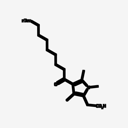 CCCCCCCCCCCCCCCCCC(=O)c1c(C)c(CC(=O)O)n(C)c1C